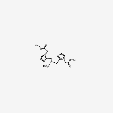 CC(C)(C)OC(=O)Cn1ccnc1CN(Cc1nccn1CC(=O)OC(C)(C)C)C(=O)O